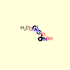 CCOc1ccnc(N2CCN(C(=O)c3ccccc3CNO)CC2)n1